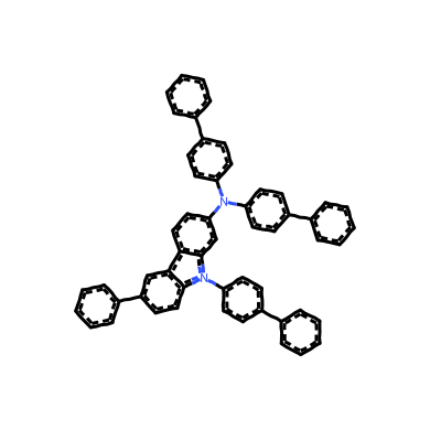 c1ccc(-c2ccc(N(c3ccc(-c4ccccc4)cc3)c3ccc4c5cc(-c6ccccc6)ccc5n(-c5ccc(-c6ccccc6)cc5)c4c3)cc2)cc1